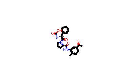 CC(=O)c1ccc(C)c(NC(=O)[C@@H]2CCCN2C(=O)[C@@H](c2ccccc2)N(C)C(=O)O)c1